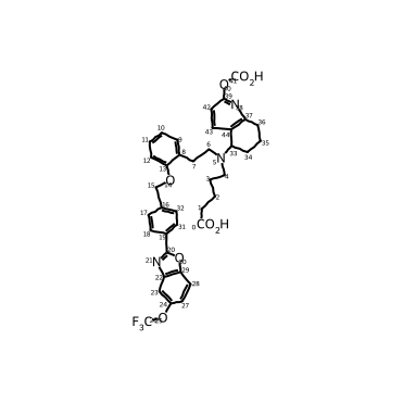 O=C(O)CCCCN(CCc1ccccc1OCc1ccc(-c2nc3cc(OC(F)(F)F)ccc3o2)cc1)C1CCCc2nc(OC(=O)O)ccc21